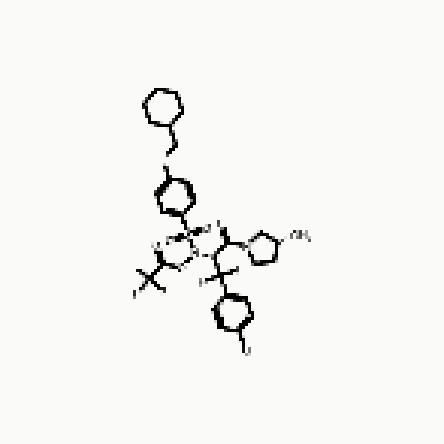 N[C@@H]1CCN(C(=O)[C@@H](N(OC(=O)C(F)(F)F)S(=O)(=O)c2ccc(OCC3CCCCC3)cc2)C(F)(F)c2ccc(Cl)cc2)C1